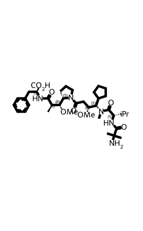 CO[C@H]([C@@H](C)C(=O)N[C@@H](Cc1ccccc1)C(=O)O)[C@@H]1CCCN1C(=O)C[C@@H](OC)[C@H](C1CCCC1)N(C)C(=O)[C@@H](NC(=O)C(C)(C)N)C(C)C